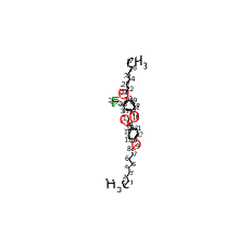 CCCCCCCCCOc1ccc(C(=O)Oc2ccc(OCCCCCC)c(F)c2)cc1